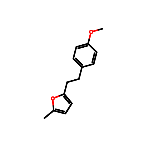 COc1ccc(CCc2ccc(C)o2)cc1